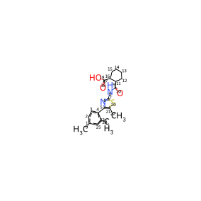 Cc1ccc(-c2nc(NC(=O)C3CCCCC3C(=O)O)sc2C)c(C)c1